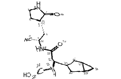 N#C[C@H](C[C@@H]1CCNC1=O)NC(=O)C(NC(=O)O)C1CC2CC2C1